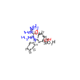 NNC(=O)N(N)N(c1ccccc1)c1ccccc1.O=S(=O)(O)O